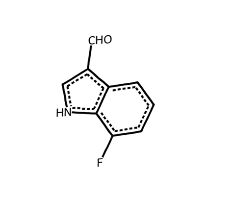 O=Cc1c[nH]c2c(F)cccc12